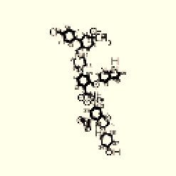 CC1(C)CCC(CN2CCN(c3ccc(C(=O)NS(=O)(=O)c4cc5c(c([N+](=O)[O-])c4)N[C@@H](C4CCC(O)CC4)CO5)c(Oc4cnc5[nH]ccc5c4)c3)CC2)=C(c2ccc(Cl)cc2)C1